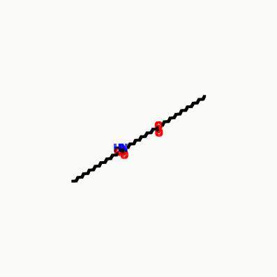 CCCCCCCCCCCCCCCCOC(=O)CCCCCCCCCCNC(=O)OCCCCCCCCCCCCCCCC